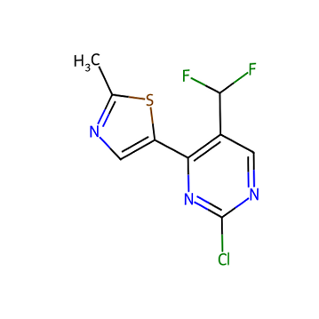 Cc1ncc(-c2nc(Cl)ncc2C(F)F)s1